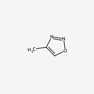 Cc1[c]onn1